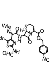 CO/N=C(\C(=O)NC1C(=O)N2C(C(=O)OCc3ccc([N+](=O)[O-])cc3)=CCS[C@H]12)c1nc(NC=O)sc1Br